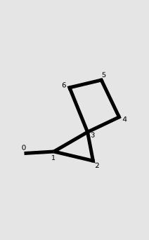 CC1CC12CCC2